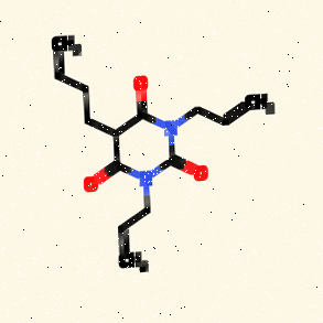 C=CCCC1C(=O)N(CC=C)C(=O)N(CC=C)C1=O